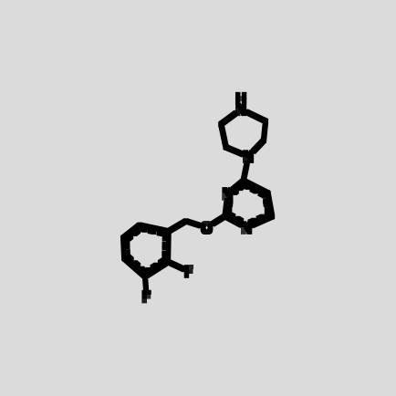 Fc1cccc(COc2nccc(N3CCNCC3)n2)c1F